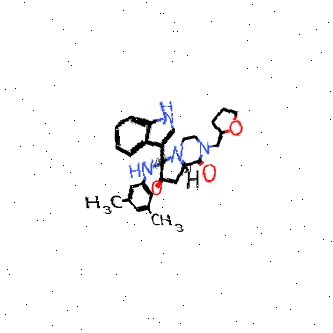 Cc1cc(C)cc(N[C@]2(c3c[nH]c4ccccc34)C(=O)C[C@H]3C(=O)N(CC4CCCO4)CCN32)c1